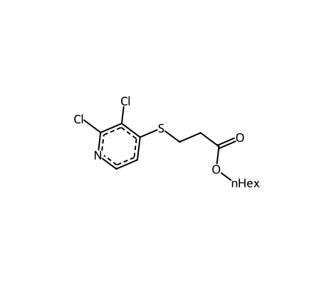 CCCCCCOC(=O)CCSc1ccnc(Cl)c1Cl